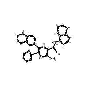 Nc1nc(-c2ccccc2)c(-c2ccc3ncccc3c2)nc1C(=O)Nc1nccc2ccccc12